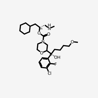 CNC[C@@H](CC1CCCCC1)OC(=O)N1CCOC([C@@](O)(CCCCOC)c2cccc(Cl)c2F)C1